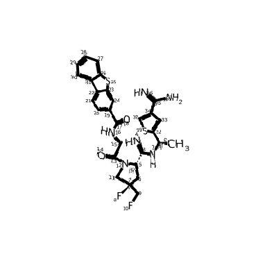 C[C@@H](NC(=N)[C@@H]1C[C@](F)(CF)CN1C(=O)CNC(=O)c1ccc2c(c1)sc1ccccc12)c1cc(C(=N)N)cs1